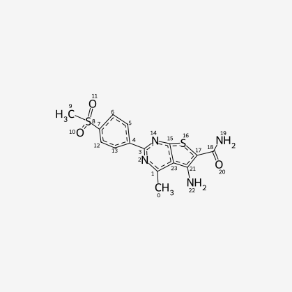 Cc1nc(-c2ccc(S(C)(=O)=O)cc2)nc2sc(C(N)=O)c(N)c12